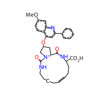 COc1ccc2c(OC3CC4C(=O)NC(C(=O)O)CCC=CCCCCNC(=O)[N+]4C3)cc(-c3ccccc3)nc2c1